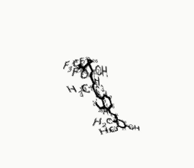 C=C1/C(=C\C=C2/CCC[C@]3(C)[C@@H]([C@H](C)/C=C/[C@@H](O)C4(C(=O)C(F)(F)C(F)(F)F)CC4)CC[C@@H]23)C[C@@H](O)C[C@@H]1O